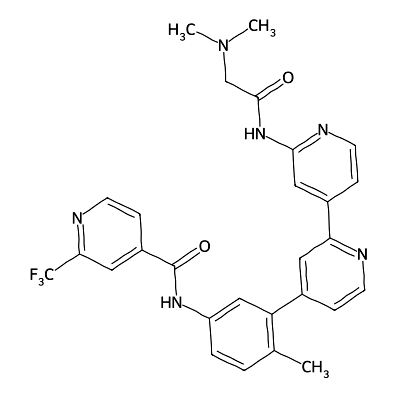 Cc1ccc(NC(=O)c2ccnc(C(F)(F)F)c2)cc1-c1ccnc(-c2ccnc(NC(=O)CN(C)C)c2)c1